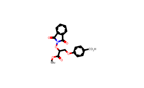 CC(C)(C)OC(=O)C(COc1ccc(C(=O)O)cc1)ON1C(=O)c2ccccc2C1=O